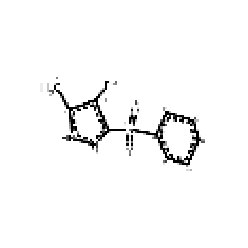 Cc1[nH]nc(S(=O)(=O)c2ccccc2)c1F